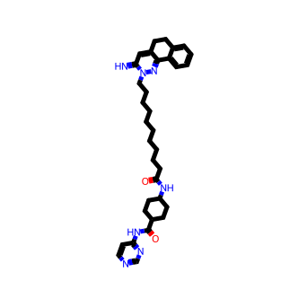 N=c1cc2c(nn1CCCCCCCCCCC(=O)NC1CCC(C(=O)Nc3ccncn3)CC1)-c1ccccc1CC2